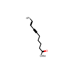 CCC/C=C/C#CCCCCC(=O)OC